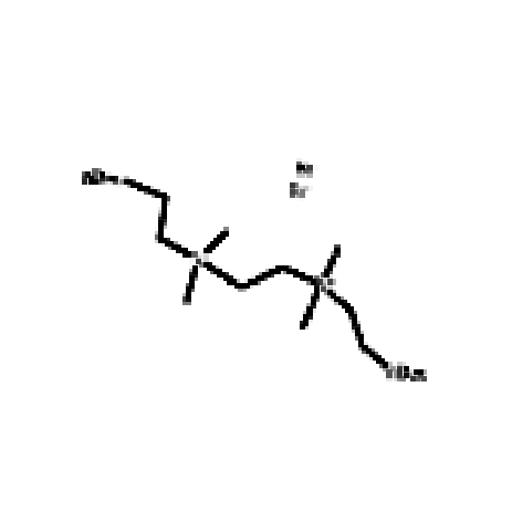 CCCCCCCCCCCC[N+](C)(C)CC[N+](C)(C)CCCCCCCCCCCC.[Br-].[Br-]